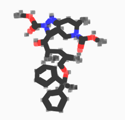 C=C(CO[Si](c1ccccc1)(c1ccccc1)C(C)(C)C)CC(C(=O)OCC)C(=O)c1c2c(nn1C(=O)OC(C)(C)C)CC(C)N(C(=O)OC(C)(C)C)C2